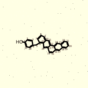 Oc1ccc(Cc2cccc3cc4c(ccc5cc6ccccc6cc54)cc23)cc1